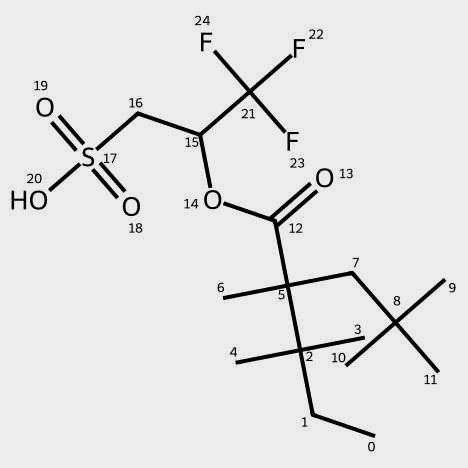 CCC(C)(C)C(C)(CC(C)(C)C)C(=O)OC(CS(=O)(=O)O)C(F)(F)F